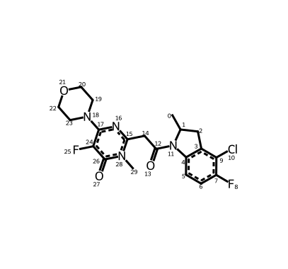 CC1Cc2c(ccc(F)c2Cl)N1C(=O)Cc1nc(N2CCOCC2)c(F)c(=O)n1C